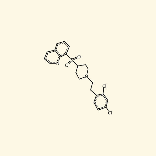 O=S(=O)(c1cccc2cccnc12)C1CCN(CCc2ccc(Cl)cc2Cl)CC1